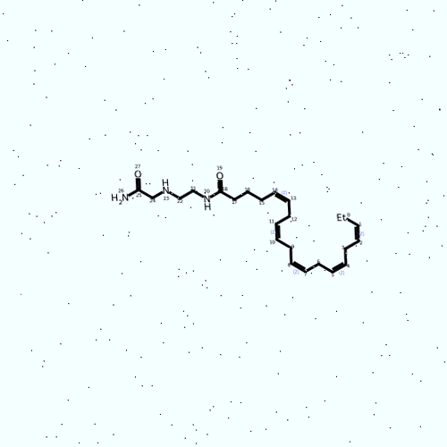 CC/C=C\C/C=C\C/C=C\C/C=C\C/C=C\CCCC(=O)NCCNCC(N)=O